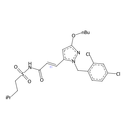 CCCCOc1cc(/C=C/C(=O)NS(=O)(=O)CCC(C)C)n(Cc2ccc(Cl)cc2Cl)n1